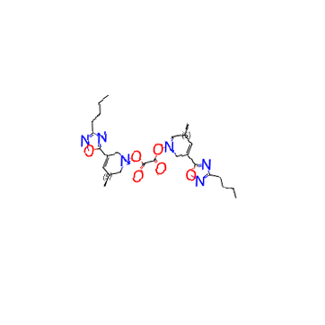 CCCCc1noc(C2=C[C@H](C)CN(OC(=O)C(=O)ON3CC(c4nc(CCCC)no4)=C[C@H](C)C3)C2)n1